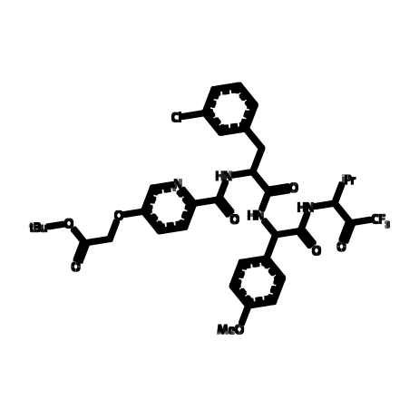 COc1ccc(C(NC(=O)C(Cc2cccc(Cl)c2)NC(=O)c2ccc(OCC(=O)OC(C)(C)C)cn2)C(=O)NC(C(=O)C(F)(F)F)C(C)C)cc1